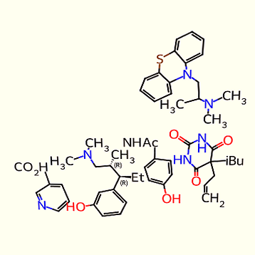 C=CCC1(C(C)CC)C(=O)NC(=O)NC1=O.CC(=O)Nc1ccc(O)cc1.CC(CN1c2ccccc2Sc2ccccc21)N(C)C.CC[C@@H](c1cccc(O)c1)[C@@H](C)CN(C)C.O=C(O)c1cccnc1